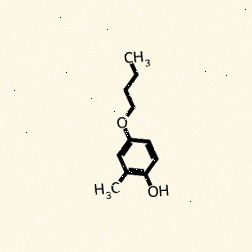 CCCCOc1ccc(O)c(C)c1